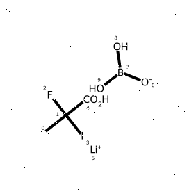 CC(F)(I)C(=O)O.[Li+].[O-]B(O)O